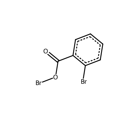 O=C(OBr)c1ccccc1Br